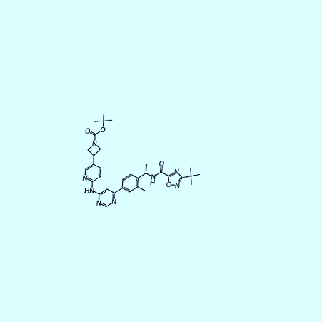 Cc1cc(-c2cc(Nc3ccc(C4CN(C(=O)OC(C)(C)C)C4)cn3)ncn2)ccc1[C@@H](C)NC(=O)c1nc(C(C)(C)C)no1